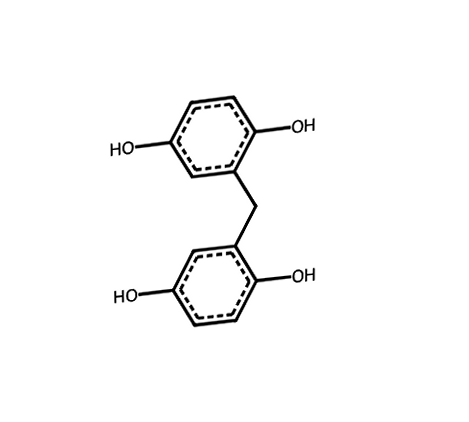 Oc1ccc(O)c(Cc2cc(O)ccc2O)c1